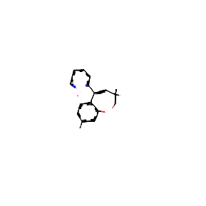 CC1(C)C=C(c2cccc[n+]2[O-])c2ccc(C#N)cc2OC1